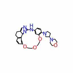 c1cc(N2CCC(N3CCOCC3)C2)c2cc1Nc1ncc3c(n1)-c1cc(ccc1CC3)OCCOCCO2